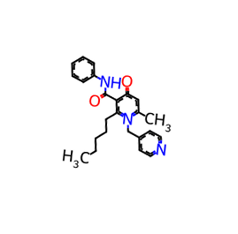 CCCCCc1c(C(=O)Nc2ccccc2)c(=O)cc(C)n1Cc1ccncc1